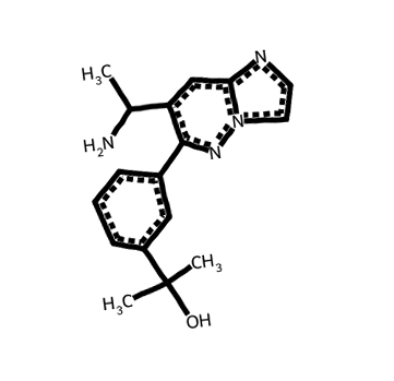 CC(N)c1cc2nccn2nc1-c1cccc(C(C)(C)O)c1